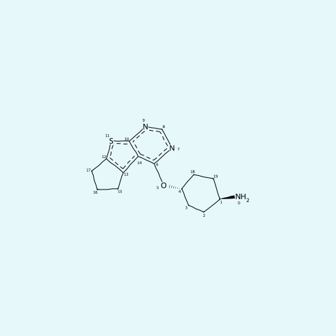 N[C@H]1CC[C@H](Oc2ncnc3sc4c(c23)CCC4)CC1